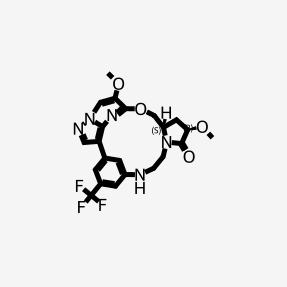 COc1cn2ncc3c2nc1OC[C@@H]1C[C@@H](OC)C(=O)N1CCNc1cc-3cc(C(F)(F)F)c1